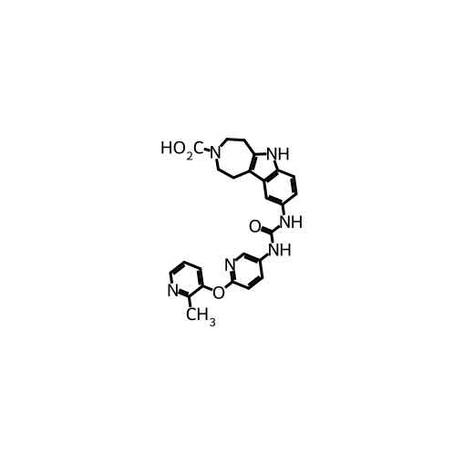 Cc1ncccc1Oc1ccc(NC(=O)Nc2ccc3[nH]c4c(c3c2)CCN(C(=O)O)CC4)cn1